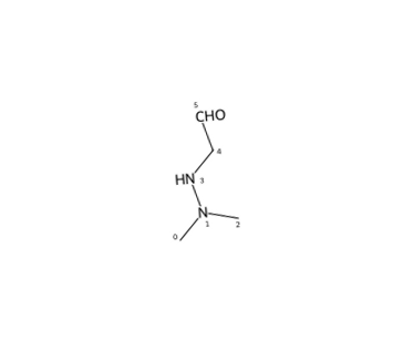 CN(C)NCC=O